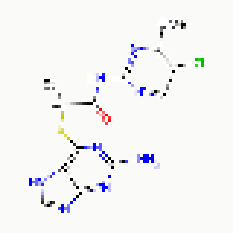 CC[C@@H](Sc1nc(N)nc2nc[nH]c12)C(=O)Nc1ncc(Cl)c(OC)n1